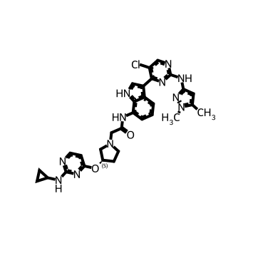 Cc1cc(Nc2ncc(Cl)c(-c3c[nH]c4c(NC(=O)CN5CC[C@H](Oc6ccnc(NC7CC7)n6)C5)cccc34)n2)nn1C